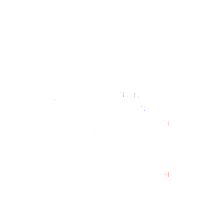 Cc1ccc(C2=CC(c3ccc(O)cc3O)=NN(c3ccc(O)cc3O)N2)c(C)c1